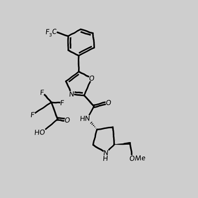 COC[C@@H]1C[C@@H](NC(=O)c2ncc(-c3cccc(C(F)(F)F)c3)o2)CN1.O=C(O)C(F)(F)F